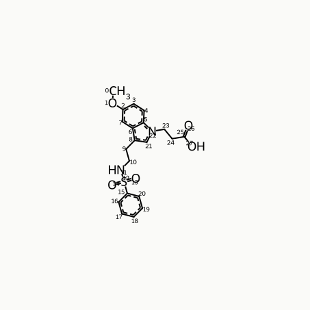 COc1ccc2c(c1)c(CCNS(=O)(=O)c1ccccc1)cn2CCC(=O)O